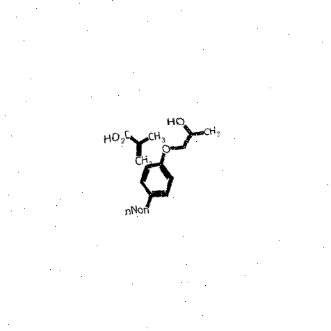 C=C(C)C(=O)O.CCCCCCCCCc1ccc(OCC(C)O)cc1